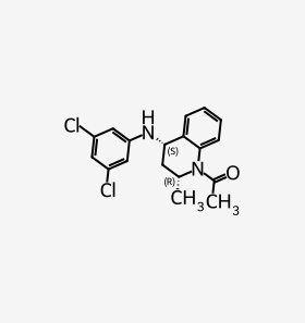 CC(=O)N1c2ccccc2[C@@H](Nc2cc(Cl)cc(Cl)c2)C[C@H]1C